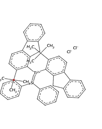 CC(C)(C)c1ccc2c([c]1[Ti+2]([c]1c(C(C)(C)C)ccc3c1Cc1ccccc1-3)=[Si](c1ccccc1)c1ccccc1)Cc1ccccc1-2.[Cl-].[Cl-]